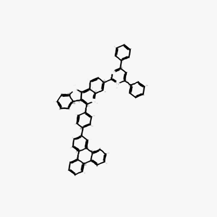 c1ccc(-c2cc(-c3ccccc3)nc(-c3ccc4c(c3)nc(-c3ccc(-c5ccc6c7ccccc7c7ccccc7c6c5)cc3)c3c5ccccc5oc43)n2)cc1